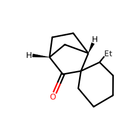 CCC1CCCCC12C(=O)[C@@H]1CC[C@H]2C1